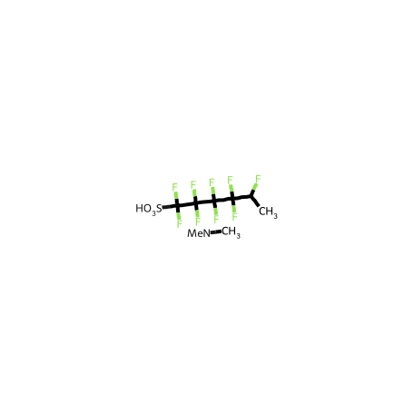 CC(F)C(F)(F)C(F)(F)C(F)(F)C(F)(F)S(=O)(=O)O.CNC